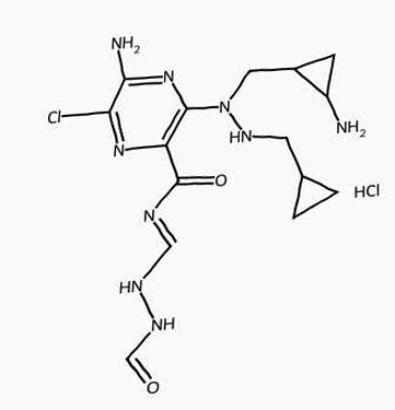 Cl.Nc1nc(N(CC2CC2N)NCC2CC2)c(C(=O)N=CNNC=O)nc1Cl